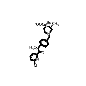 C[C@H]1CN(Cc2ccc(N(C)C(=O)c3cccc(Cl)n3)cc2)CC[N+]1(C(=O)[O-])C(C)(C)C